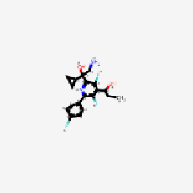 CCC(O)c1c(F)c(-c2ccc(F)cc2)nc(C(O)(CN)C2CC2)c1F